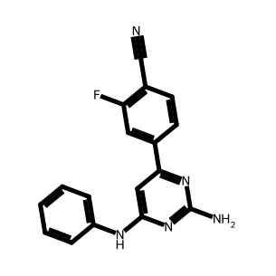 N#Cc1ccc(-c2cc(Nc3ccccc3)nc(N)n2)cc1F